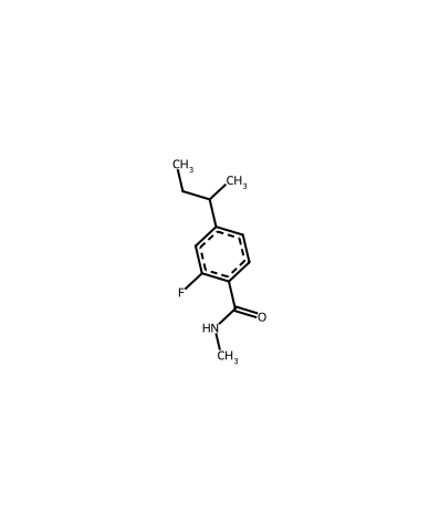 CCC(C)c1ccc(C(=O)NC)c(F)c1